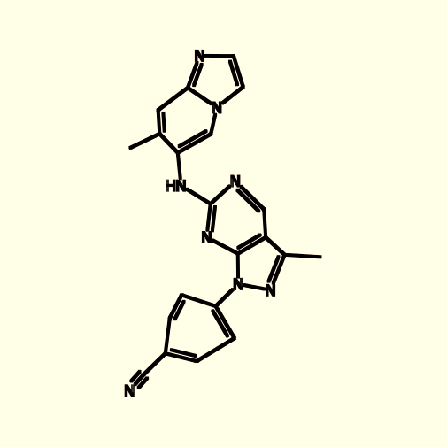 Cc1cc2nccn2cc1Nc1ncc2c(C)nn(-c3ccc(C#N)cc3)c2n1